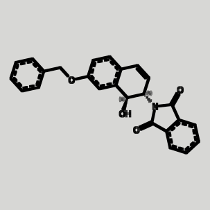 O=C1c2ccccc2C(=O)N1[C@H]1C=Cc2ccc(OCc3ccccc3)cc2[C@@H]1O